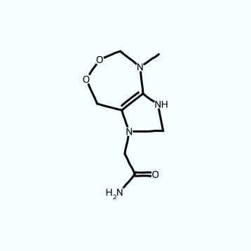 CN1COOCC2=C1NCN2CC(N)=O